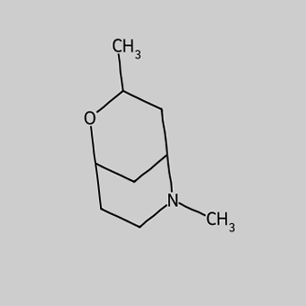 CC1CC2CC(CCN2C)O1